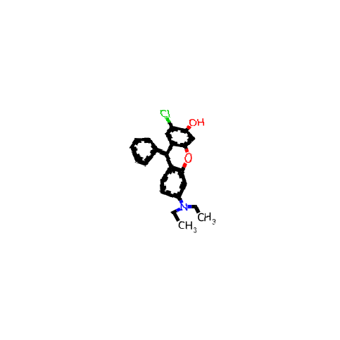 CCN(CC)c1ccc2c(c1)Oc1cc(O)c(Cl)cc1C2c1ccccc1